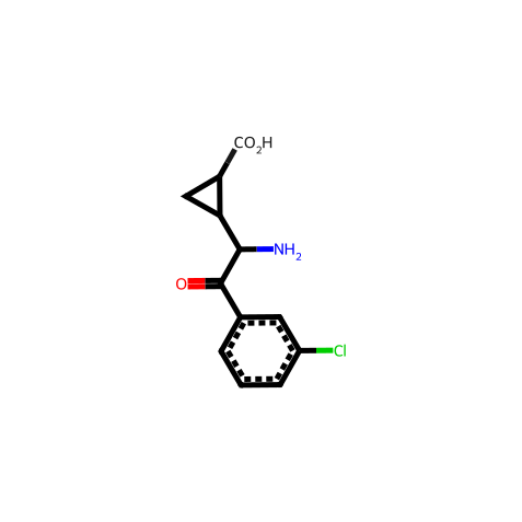 NC(C(=O)c1cccc(Cl)c1)C1CC1C(=O)O